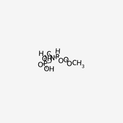 COOOPN(C)CP(=O)(O)O